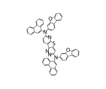 c1ccc2c(c1)cc(N(c1ccc3c(c1)oc1ccccc13)c1cc3sc4nc(N(c5ccc6c(c5)oc5ccccc56)c5cc6ccccc6c6ccccc56)ccc4c3nn1)c1ccccc12